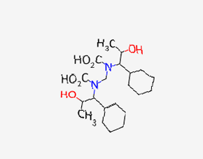 CC(O)C(C1CCCCC1)N(CN(C(=O)O)C(C(C)O)C1CCCCC1)C(=O)O